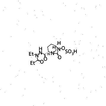 CCC(=O)N(CC)NC(=O)[C@@H]1CC[C@@H]2CN1C(=O)N2OS(=O)(=O)O